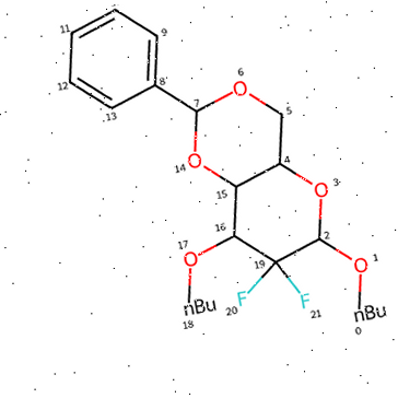 CCCCOC1OC2COC(c3ccccc3)OC2C(OCCCC)C1(F)F